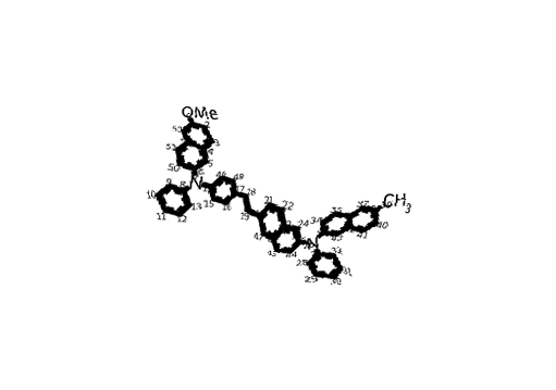 COc1ccc2cc(N(c3ccccc3)c3ccc(/C=C/c4ccc5cc(N(c6ccccc6)c6ccc7cc(C)ccc7c6)ccc5c4)cc3)ccc2c1